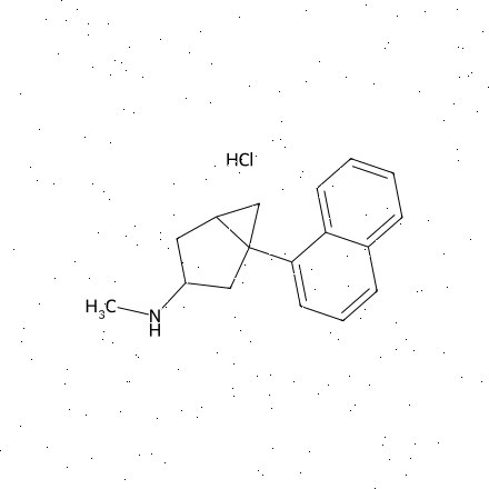 CNC1CC2CC2(c2cccc3ccccc23)C1.Cl